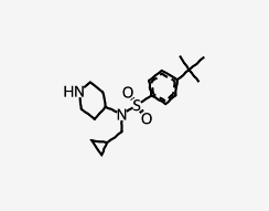 CC(C)(C)c1ccc(S(=O)(=O)N(CC2CC2)C2CCNCC2)cc1